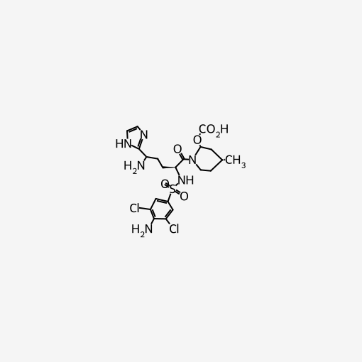 C[C@@H]1CCN(C(=O)[C@H](CCC(N)c2ncc[nH]2)NS(=O)(=O)c2cc(Cl)c(N)c(Cl)c2)[C@H](OC(=O)O)C1